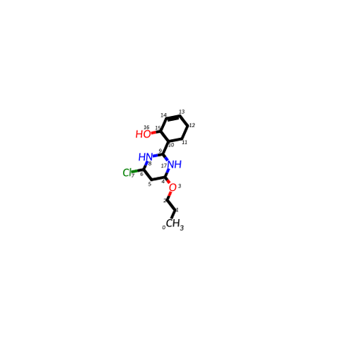 CCCOC1CC(Cl)NC(C2CCC=CC2O)N1